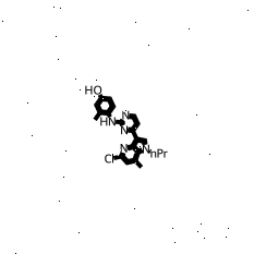 CCCn1cc(-c2ccnc(Nc3ccc(O)cc3C)n2)c2nc(Cl)cc(C)c21